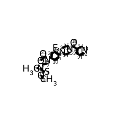 COC(=S)N(C)C1CN(c2ccc(N3CCN(C(=O)c4cccnc4)CC3)c(F)c2)C(=O)O1